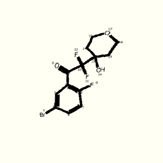 O=C(c1cc(Br)ccc1F)C(F)(F)C1(O)CCOCC1